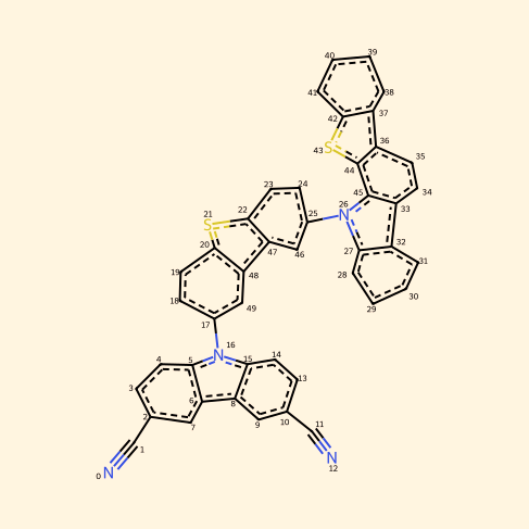 N#Cc1ccc2c(c1)c1cc(C#N)ccc1n2-c1ccc2sc3ccc(-n4c5ccccc5c5ccc6c7ccccc7sc6c54)cc3c2c1